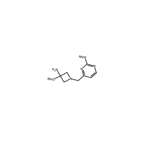 COc1nccc(CN2CC(N)(OC)C2)n1